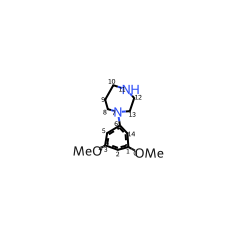 COc1cc(OC)cc(N2CCCNCC2)c1